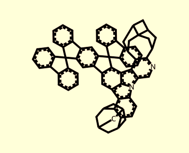 c1ccc2c(c1)-c1ccccc1C21c2ccccc2-c2cc3c(cc21)-c1cc2c4c5c(ccc4n4c6cnc7c(c6c(c1C31c3ccccc3-c3ccccc31)c24)C1CC2CC3CC7CC32C1)C1CC2CC(C1)CC5C2